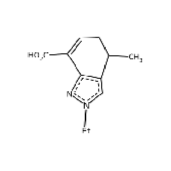 CCn1cc2c(n1)C(C(=O)O)=CCC2C